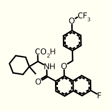 CC1(C(NC(=O)c2ccc3cc(F)ccc3c2OCc2ccc(OC(F)(F)F)cc2)C(=O)O)CCCCC1